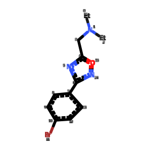 CCN(CC)Cc1nc(-c2ccc(Br)cc2)no1